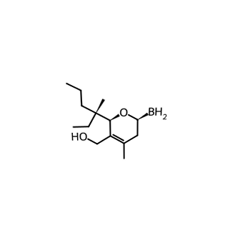 B[C@H]1CC(C)=C(CO)[C@@H]([C@](C)(CC)CCC)O1